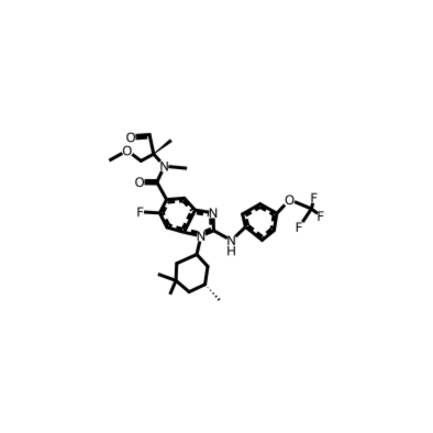 COC[C@](C)(C=O)N(C)C(=O)c1cc2nc(Nc3ccc(OC(F)(F)F)cc3)n(C3C[C@H](C)CC(C)(C)C3)c2cc1F